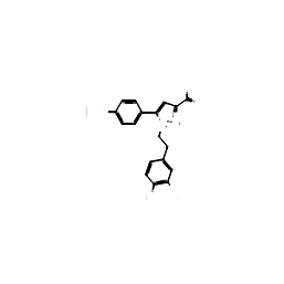 Cc1ccc(-c2cc(C(=O)Cl)nn2CCc2ccc(Cl)c(Cl)c2)cc1